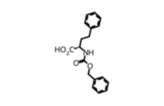 O=C(N[C@H](CCc1ccccc1)C(=O)O)OCc1ccccc1